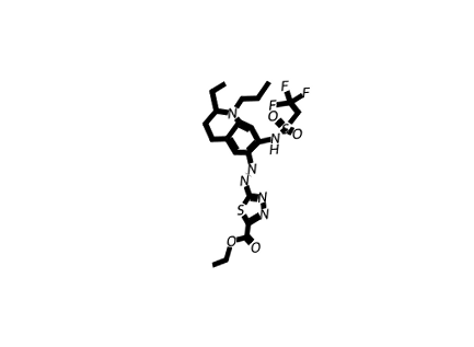 CCCN1c2cc(NS(=O)(=O)CC(F)(F)F)c(N=Nc3nnc(C(=O)OCC)s3)cc2CCC1CC